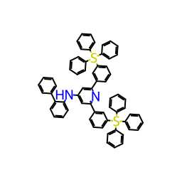 c1ccc(-c2ccccc2Nc2cc(-c3cccc(S(c4ccccc4)(c4ccccc4)c4ccccc4)c3)nc(-c3cccc(S(c4ccccc4)(c4ccccc4)c4ccccc4)c3)c2)cc1